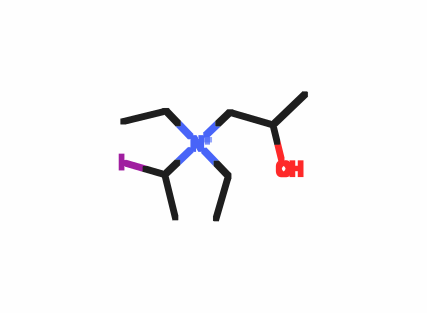 CC[N+](CC)(CC(C)O)C(C)I